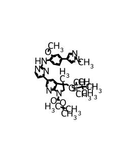 COc1cc(-c2cnn(C)c2)ccc1Nc1nccc(-c2cnc3c(c2)C(C)(CO[Si](C)(C)C(C)(C)C)CN3C(=O)OC(C)(C)C)n1